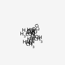 CNc1ncnc2c1ncn2[C@@H]1O[C@H](CO[P@](=O)(N[C@H](C)C(=O)OC(C)C)Oc2cccc3ccccc23)[C@@H](O)[C@@]1(C)F